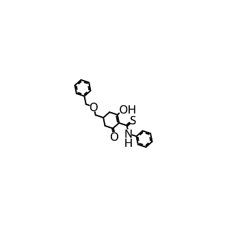 O=C1CC(COCc2ccccc2)CC(O)=C1C(=S)Nc1ccccc1